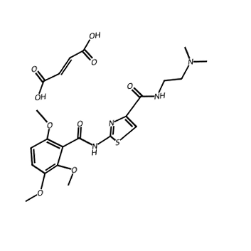 COc1ccc(OC)c(C(=O)Nc2nc(C(=O)NCCN(C)C)cs2)c1OC.O=C(O)C=CC(=O)O